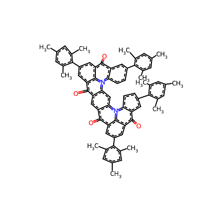 Cc1cc(C)c(-c2ccc3c(c2)c(=O)c2cc(-c4c(C)cc(C)cc4C)cc4c(=O)c5cc6c(=O)c7cc(-c8c(C)cc(C)cc8C)cc8c(=O)c9cc(-c%10c(C)cc(C)cc%10C)ccc9n(c6cc5n3c24)c87)c(C)c1